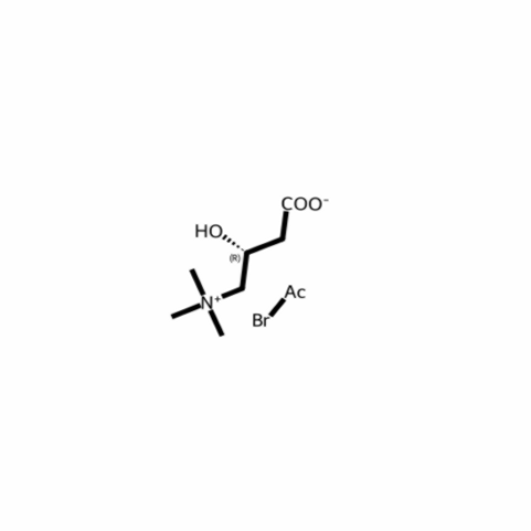 CC(=O)Br.C[N+](C)(C)C[C@H](O)CC(=O)[O-]